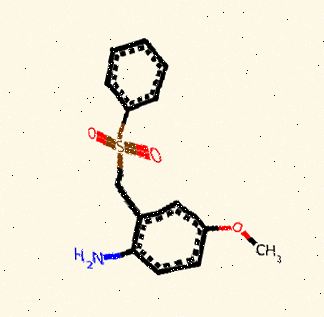 COc1ccc(N)c(CS(=O)(=O)c2ccccc2)c1